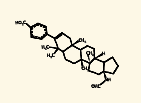 CC1(C)C(c2ccc(C(=O)O)cc2)=CC[C@@]2(C)C1CC[C@]1(C)C2CC[C@@H]2C3CCC[C@]3(NC=O)CC[C@]21C